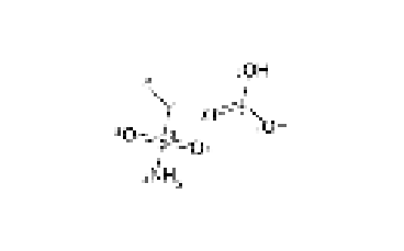 CCS(N)(=O)=O.O=C(O)O